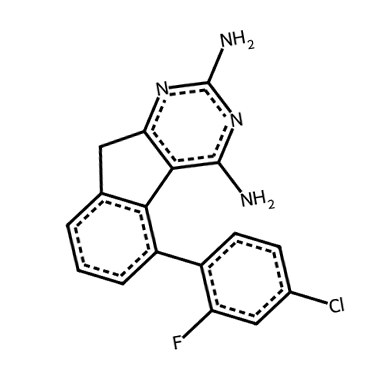 Nc1nc(N)c2c(n1)Cc1cccc(-c3ccc(Cl)cc3F)c1-2